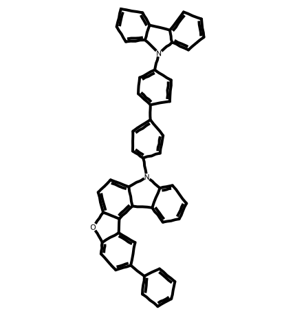 c1ccc(-c2ccc3oc4ccc5c(c6ccccc6n5-c5ccc(-c6ccc(-n7c8ccccc8c8ccccc87)cc6)cc5)c4c3c2)cc1